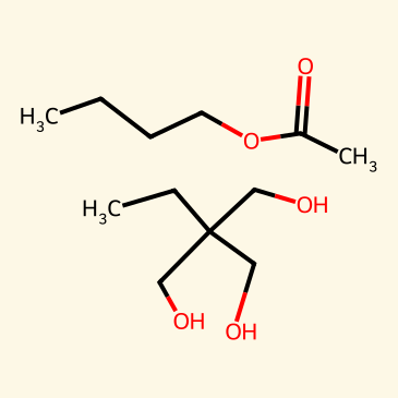 CCC(CO)(CO)CO.CCCCOC(C)=O